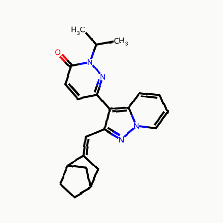 CC(C)n1nc(-c2c(C=C3CC4CCC3C4)nn3ccccc23)ccc1=O